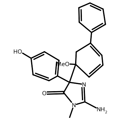 COC1(C2(c3ccc(O)cc3)N=C(N)N(C)C2=O)C=CC=C(c2ccccc2)C1